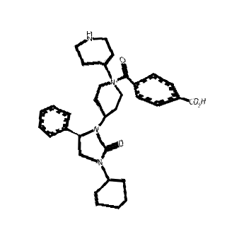 O=C(O)c1ccc(C(=O)[N+]2(C3CCNCC3)CCC(N3C(=O)N(C4CCCCC4)C[C@H]3c3ccccc3)CC2)cc1